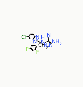 C[C@H](Nc1ncnc(N)c1C#N)c1nc2ccc(Cl)cc2n1-c1cc(F)cc(F)c1